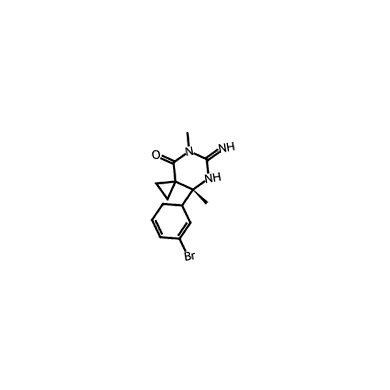 CN1C(=N)N[C@](C)(C2C=C(Br)C=CC2)C2(CC2)C1=O